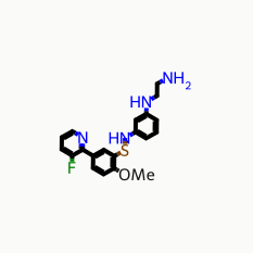 COc1ccc(-c2ncccc2F)cc1SNc1cccc(NCCN)c1